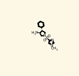 Cn1cnc(S(=O)(=O)N2C[C@@H](N)[C@H](c3ccccc3)C2)c1